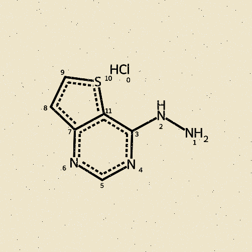 Cl.NNc1ncnc2ccsc12